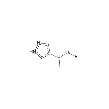 CCOC(C)c1cn[nH]c1